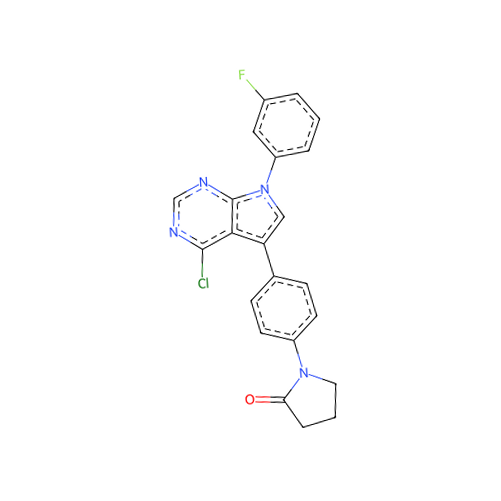 O=C1CCCN1c1ccc(-c2cn(-c3cccc(F)c3)c3ncnc(Cl)c23)cc1